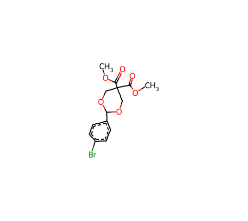 COC(=O)C1(C(=O)OC)COC(c2ccc(Br)cc2)OC1